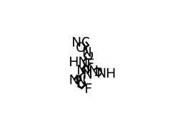 N#CCC(=O)N1CCCC(Nc2nc(-c3cnc4ccc(F)cn34)nc(N3CCNCC3)c2F)C1